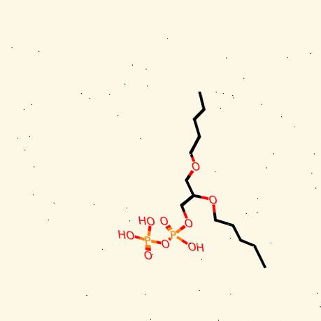 CCCCCOCC(COP(=O)(O)OP(=O)(O)O)OCCCCC